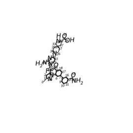 Cc1ccn(-c2cc(-c3cccc(C(N)=O)c3)ccc2C(Oc2cc(N3CCC4(CC3)CN[C@H](C(=O)O)C4)nc(N)n2)C(F)(F)F)n1